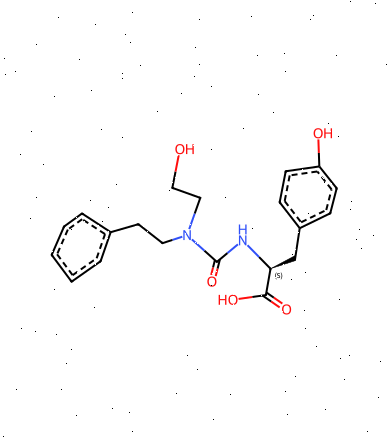 O=C(O)[C@H](Cc1ccc(O)cc1)NC(=O)N(CCO)CCc1ccccc1